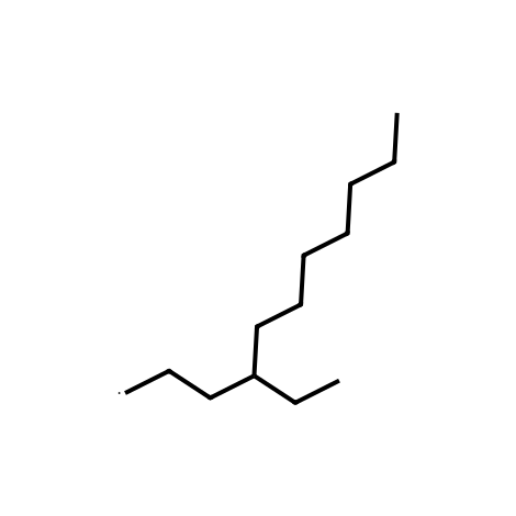 [CH2]CCC(CC)CCCCCCC